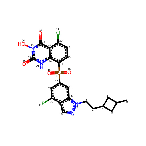 CC1CC(CCn2ncc3c(F)cc(S(=O)(=O)c4ccc(Cl)c5c(=O)n(O)c(=O)[nH]c45)cc32)C1